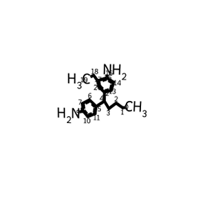 CCCCC(c1ccc(N)cc1)c1ccc(N)c(CC)c1